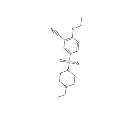 CCOc1[c]cc(S(=O)(=O)N2CCN(CC)CC2)cc1C#N